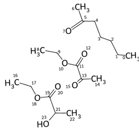 CCCCCC(C)=O.CCOC(=O)C(C)=O.CCOC(=O)C(C)O